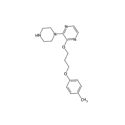 Cc1ccc(OCCCOc2nccnc2N2CCNCC2)cc1